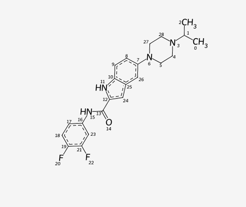 CC(C)N1CCN(c2ccc3[nH]c(C(=O)Nc4ccc(F)c(F)c4)cc3c2)CC1